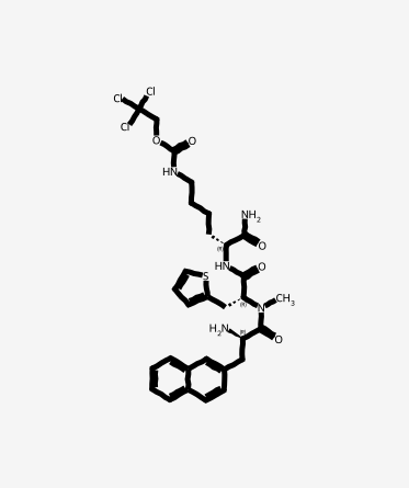 CN(C(=O)[C@H](N)Cc1ccc2ccccc2c1)[C@H](Cc1cccs1)C(=O)N[C@H](CCCCNC(=O)OCC(Cl)(Cl)Cl)C(N)=O